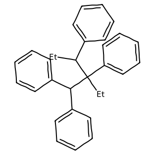 CCC(c1ccccc1)C(CC)(c1ccccc1)C(c1ccccc1)c1ccccc1